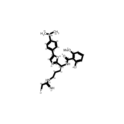 COc1cccc(Cl)c1C(=O)N[C@@H](CCCNC(=N)CF)c1ncc(-c2ccc(N(C)C)cc2)o1